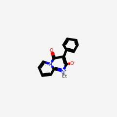 CC[n+]1c([O-])c(-c2ccccc2)c(=O)n2ccccc21